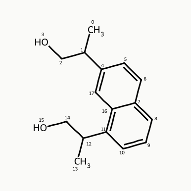 CC(CO)c1ccc2cccc(C(C)CO)c2c1